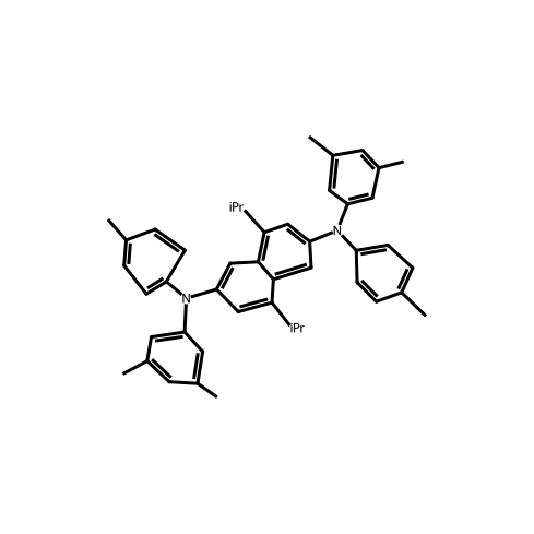 Cc1ccc(N(c2cc(C)cc(C)c2)c2cc(C(C)C)c3cc(N(c4ccc(C)cc4)c4cc(C)cc(C)c4)cc(C(C)C)c3c2)cc1